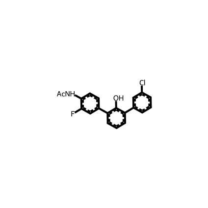 CC(=O)Nc1ccc(-c2cccc(-c3cccc(Cl)c3)c2O)cc1F